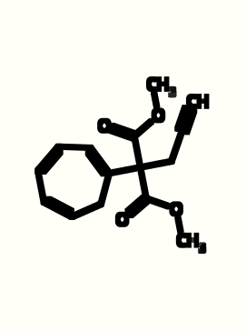 C#CCC(C(=O)OC)(C(=O)OC)C1=CC=CC=CC1